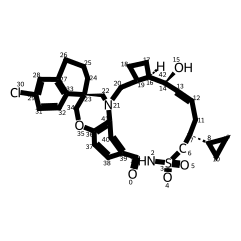 O=C1NS(=O)(=O)C[C@@H](C2CC2)C/C=C/[C@H](O)[C@@H]2CCC2CN2C[C@@]3(CCCc4cc(Cl)ccc43)COc3ccc1cc32